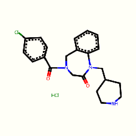 Cl.O=C(c1ccc(Cl)cc1)N1CC(=O)N(CC2CCNCC2)c2ccccc2C1